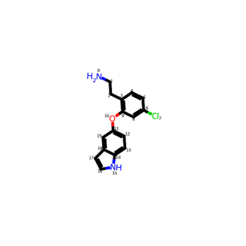 NCCc1ccc(Cl)cc1Oc1ccc2[nH]ccc2c1